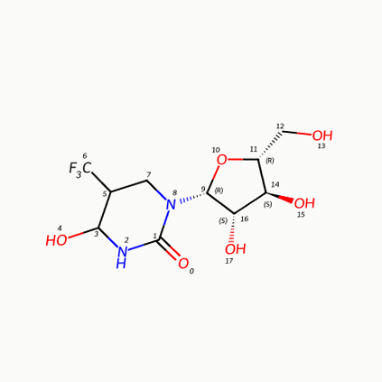 O=C1NC(O)C(C(F)(F)F)CN1[C@@H]1O[C@H](CO)[C@@H](O)[C@@H]1O